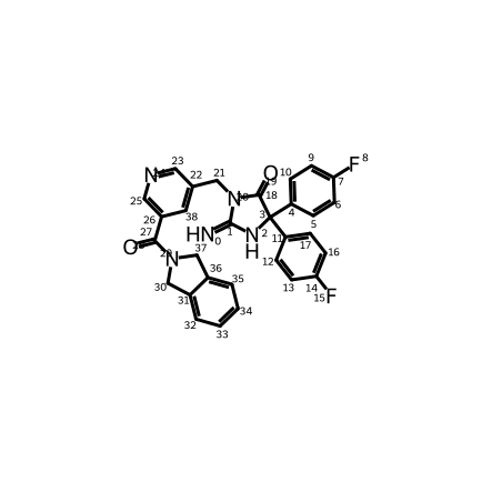 N=C1NC(c2ccc(F)cc2)(c2ccc(F)cc2)C(=O)N1Cc1cncc(C(=O)N2Cc3ccccc3C2)c1